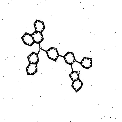 c1ccc(-c2ccc(-c3ccc(N(c4ccc5ccccc5c4)c4cc5ccccc5c5ccccc45)cc3)cc2-c2cc3ccccc3o2)cc1